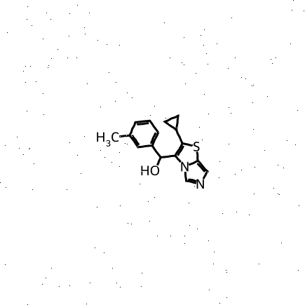 Cc1cccc(C(O)c2c(C3CC3)sc3cncn23)c1